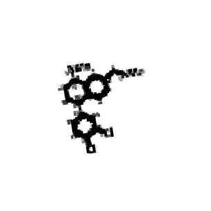 CNCc1ccc2c(c1)[C@@H](NC)CC[C@H]2c1ccc(Cl)c(Cl)c1